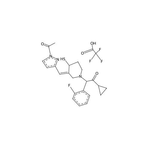 CC(=O)n1ccc(C=C2CN(C(C(=O)C3CC3)c3ccccc3F)CCC2S)n1.O=C(O)C(F)(F)F